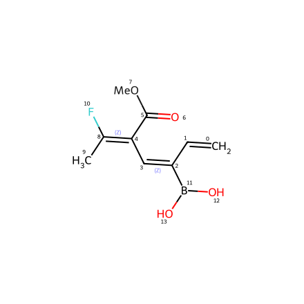 C=C/C(=C\C(C(=O)OC)=C(/C)F)B(O)O